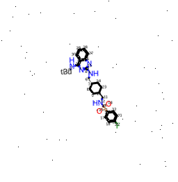 CC(C)(C)Nc1nc(NC[C@H]2CC[C@H](CNS(=O)(=O)c3ccc(F)cc3)CC2)nc2ccccc12